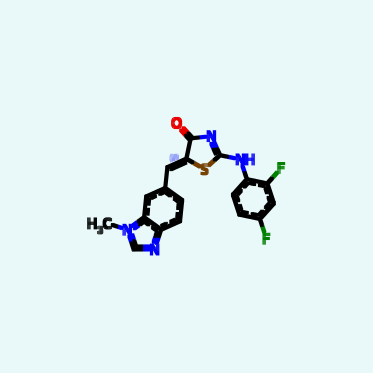 Cn1cnc2ccc(/C=C3\SC(Nc4ccc(F)cc4F)=NC3=O)cc21